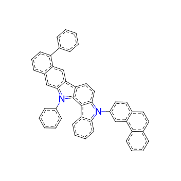 c1ccc(-c2cccc3cc4c(cc23)c2ccc3c(c5ccccc5n3-c3ccc5ccc6ccccc6c5c3)c2n4-c2ccccc2)cc1